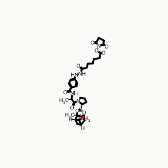 C[C@@H](NC(=O)c1ccc(NNC(=O)CCCCCC(=O)ON2C(=O)CCC2=O)cc1)C(=O)N1CCC[C@H]1B1OC2C[C@@H]3C[C@@H](C3(C)C)[C@]2(C)O1